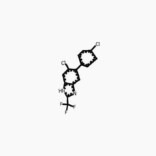 FC(F)(F)c1nc2cc(-c3ccc(Cl)cc3)c(Cl)cc2[nH]1